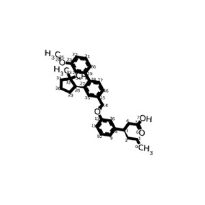 CCC[C@H](CC(=O)O)c1cccc(OCc2ccc(-c3cccc(OC)c3)c([C@H]3CCCC3(C)C)c2)c1